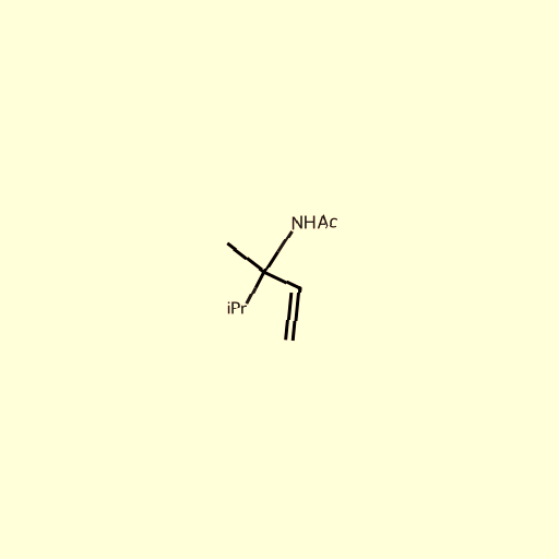 C=CC(C)(NC(C)=O)C(C)C